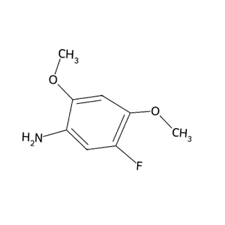 COc1cc(OC)c(F)cc1N